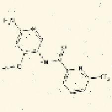 CCOc1cc(N)ncc1NC(=O)c1cccc(C(F)(F)F)n1